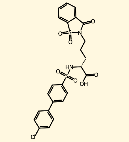 O=C(O)[C@@H](CCCN1C(=O)c2ccccc2S1(=O)=O)NS(=O)(=O)c1ccc(-c2ccc(Cl)cc2)cc1